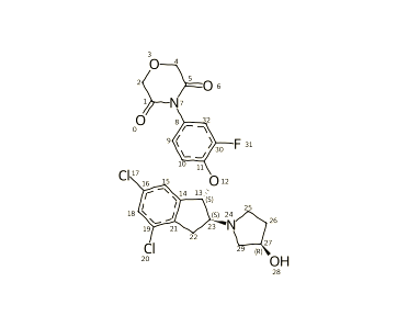 O=C1COCC(=O)N1c1ccc(O[C@H]2c3cc(Cl)cc(Cl)c3C[C@@H]2N2CC[C@@H](O)C2)c(F)c1